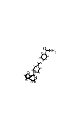 NC(=O)[C@H]1CC[C@H](CCN2CCN(c3nccc4ccoc34)CC2)CC1